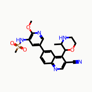 COc1ncc(-c2ccc3ncc(C#N)c(C4OCCNC4C)c3c2)cc1NS(C)(=O)=O